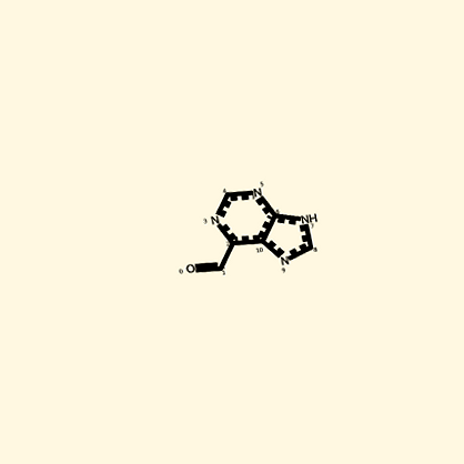 O=[C]c1ncnc2[nH]cnc12